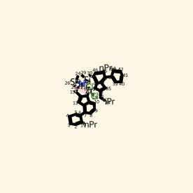 CCCc1ccccc1-c1cccc2c1C=C(CC(C)C)[CH]2[Zr]([Cl])([Cl])([BH]N([Si](C)(C)C)[Si](C)(C)C)[CH]1C(CC(C)C)=Cc2c(-c3ccccc3CCC)cccc21